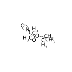 CC(C)(C)CCOC(=O)C(C)(C)CCN1CCOCC1